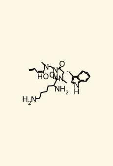 C=C/C=C(/O)N(C)CNC(=O)[C@H](Cc1c[nH]c2ccccc12)N(C)C(=O)[C@@H](N)CCCCN